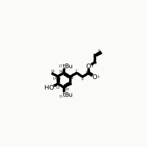 C=CCOC(=O)CCc1cc(C(C)(C)C)c(O)c(C)c1C(C)(C)C